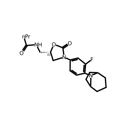 CCCC(=O)NC[C@H]1CN(c2ccc(N3C4CCCC3CC4)c(F)c2)C(=O)O1